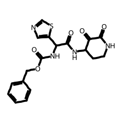 O=C(NC(C(=O)NC1CCNC(=O)C1=O)c1cncs1)OCc1ccccc1